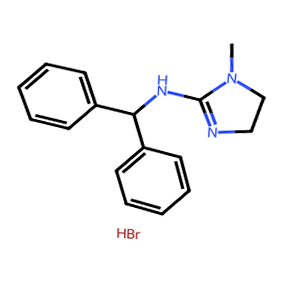 Br.CN1CCN=C1NC(c1ccccc1)c1ccccc1